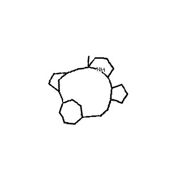 CC12CCCC(N1)C1CCCC1CCC1CCCC(CC1)C1CCC(C1)C2